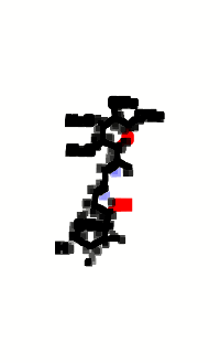 CC[C@H](OC)[C@@H](C)[C@@H]1C[C@H]1[C@H](O)[C@H](C)/C=C/C=C(\C)[C@@H]1O[C@H](OC)[C@H](OC)[C@@H](OC)[C@@H]1OC